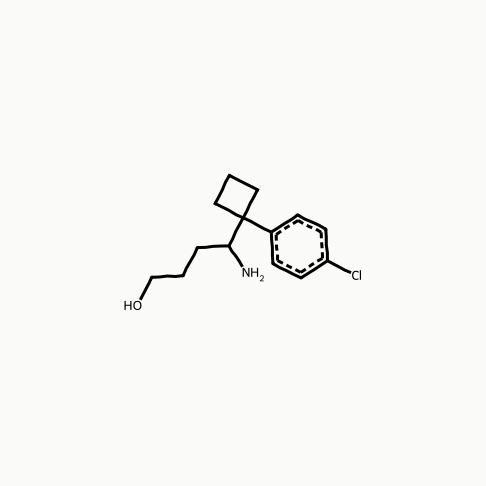 NC(CCCO)C1(c2ccc(Cl)cc2)CCC1